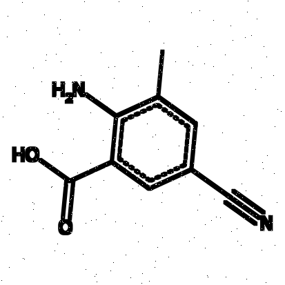 Cc1cc(C#N)cc(C(=O)O)c1N